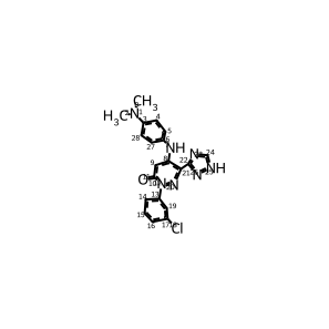 CN(C)c1ccc(Nc2cc(=O)n(-c3cccc(Cl)c3)nc2-c2nc[nH]n2)cc1